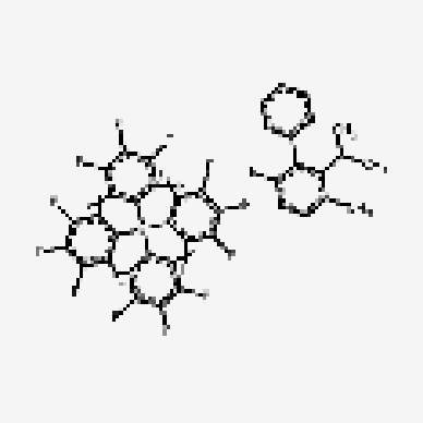 Cc1ccc(I)c(-c2ccccc2)c1C(C)C.Fc1c(F)c(F)c([B-](c2c(F)c(F)c(F)c(F)c2F)(c2c(F)c(F)c(F)c(F)c2F)c2c(F)c(F)c(F)c(F)c2F)c(F)c1F